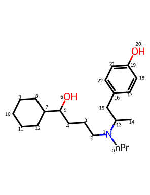 CCCN(CCCC(O)C1CCCCC1)C(C)Cc1ccc(O)cc1